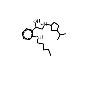 CCCCCNc1ccccc1C(O)CNC1CCC(C(C)C)C1